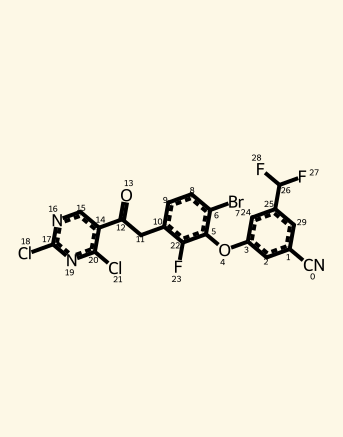 N#Cc1cc(Oc2c(Br)ccc(CC(=O)c3cnc(Cl)nc3Cl)c2F)cc(C(F)F)c1